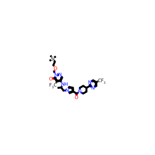 CC(Cn1ccc(C(=O)N2CCC(c3ncc(C(F)(F)F)cn3)CC2)c1)Nc1cnn(COCC[Si](C)(C)C)c(=O)c1C(F)(F)F